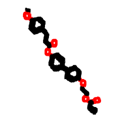 C=CC(=O)OCCOc1ccc(-c2ccc(OC(=O)/C=C/c3ccc(OC)cc3)cc2)cc1